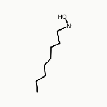 CCCCCCCC[N]O